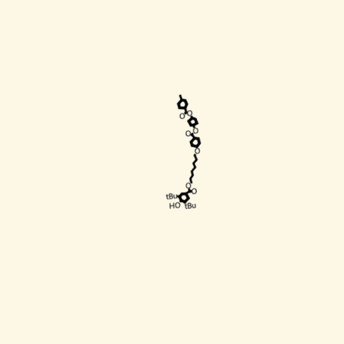 Cc1ccc(C(=O)Oc2ccc(OC(=O)c3ccc(OCCCCCCCCOC(=O)c4cc(C(C)(C)C)c(O)c(C(C)(C)C)c4)cc3)cc2)cc1